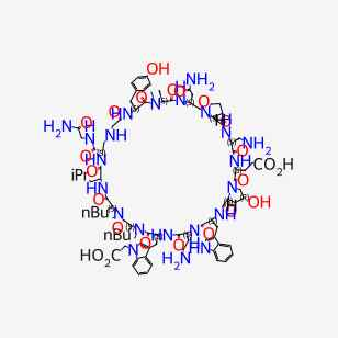 CCCC[C@H]1C(=O)N(C)[C@@H](CCCC)C(=O)NC(CC(C)C)C(=O)N[C@H](C(=O)NCC(N)=O)CNCC(=O)N[C@@H](Cc2ccc(O)cc2)C(=O)N(C)[C@@H](C)C(=O)N[C@@H](CC(N)=O)C(=O)N2CCC[C@H]2C(=O)N[C@@H](CN)C(=O)N[C@@H](CCC(=O)O)C(=O)N2C[C@H](O)C[C@H]2C(=O)N[C@@H](Cc2c[nH]c3ccccc23)C(=O)N[C@@H](CCN)C(=O)N[C@@H](Cc2cn(CC(=O)O)c3ccccc23)C(=O)N1C